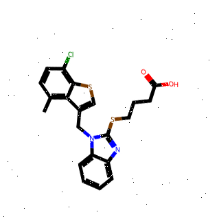 Cc1ccc(Cl)c2scc(Cn3c(SCCCC(=O)O)nc4ccccc43)c12